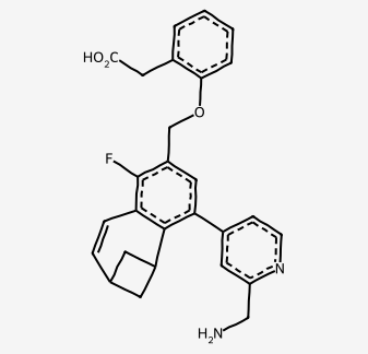 NCc1cc(-c2cc(COc3ccccc3CC(=O)O)c(F)c3c2C2CC(C=C3)C2)ccn1